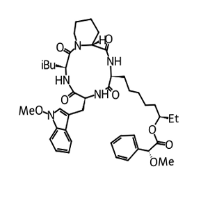 CCC(C)[C@@H]1NC(=O)[C@H](Cc2cn(OC)c3ccccc23)NC(=O)[C@H](CCCCC[C@@H](CC)OC(=O)[C@H](OC)c2ccccc2)NC(=O)[C@H]2CCCCN2C1=O